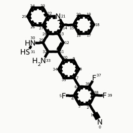 N#Cc1cc(F)c(-c2ccc(C3=Cc4c(-c5ccccc5)nc5ccccc5c4C(NS)C3N)cc2)c(F)c1F